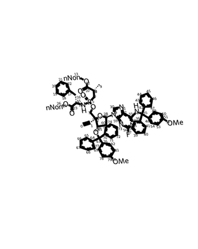 C#C[C@]1(COP(=O)(C[C@@H](C)C(=O)OCCCCCCCCC)N[C@@H](Cc2ccccc2)C(=O)OCCCCCCCCC)O[C@@H](n2cnc3c(NC(c4ccccc4)(c4ccccc4)c4ccc(OC)cc4)nc(F)nc32)C[C@@H]1OC(c1ccccc1)(c1ccccc1)c1ccc(OC)cc1